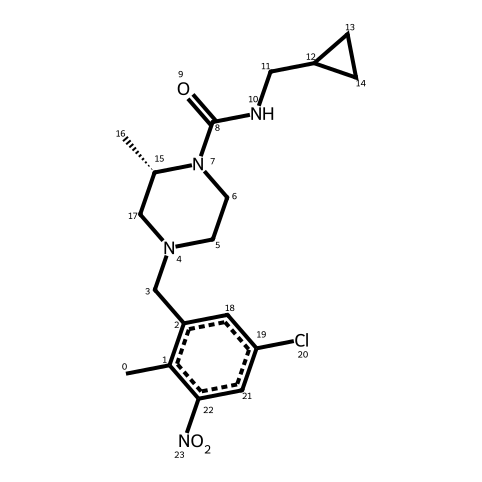 Cc1c(CN2CCN(C(=O)NCC3CC3)[C@@H](C)C2)cc(Cl)cc1[N+](=O)[O-]